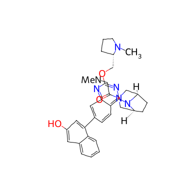 CNCC(=O)N1C[C@H]2CC[C@@H](C1)N2c1nc(OC[C@@H]2CCCN2C)nc2cc(-c3cc(O)cc4ccccc34)ccc12